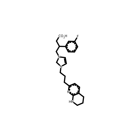 O=C(O)CC(CN1C=CN(CCCc2ccc3c(n2)NCCC3)C1)c1cccc(F)c1